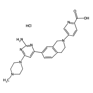 CN1CCN(c2cc(-c3ccc4c(c3)CN(c3ccc(C(=O)O)nc3)CC4)nc(N)n2)CC1.Cl